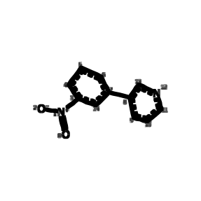 O=[N+]([O-])c1cccc(-c2c[c]cnc2)c1